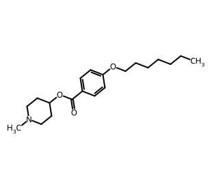 CCCCCCCOc1ccc(C(=O)OC2CCN(C)CC2)cc1